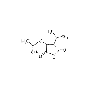 CC(C)OC1C(=O)NC(=O)C1C(C)C